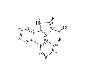 CCC(=O)c1c(CC)[nH]c(-c2ccccc2)c1-c1ccccc1